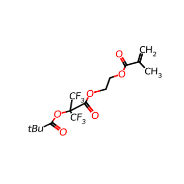 C=C(C)C(=O)OCCOC(=O)C(OC(=O)C(C)(C)C)(C(F)(F)F)C(F)(F)F